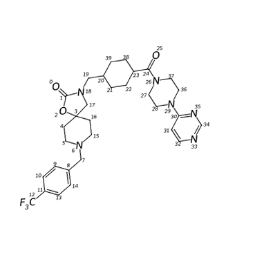 O=C1OC2(CCN(Cc3ccc(C(F)(F)F)cc3)CC2)CN1CC1CCC(C(=O)N2CCN(c3ccncn3)CC2)CC1